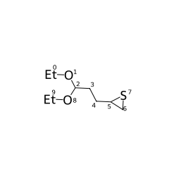 CCOC(CCC1CS1)OCC